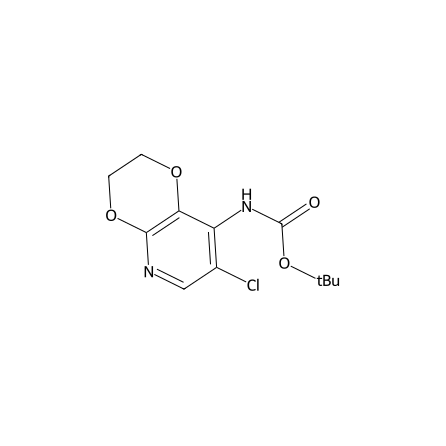 CC(C)(C)OC(=O)Nc1c(Cl)cnc2c1OCCO2